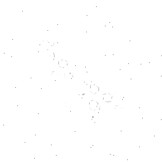 COc1ccc(-c2cnc(N3CCC(NCc4ccc(/C=C/C(=O)NO)c(OC)c4)CC3)c(C#N)c2-c2ccc(C#N)nc2)cc1O.O=CO